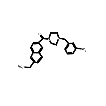 O=C(c1ccc2cc(CS(=O)(=O)O)ccc2c1)N1CCN(Cc2cccc([N+](=O)[O-])c2)CC1